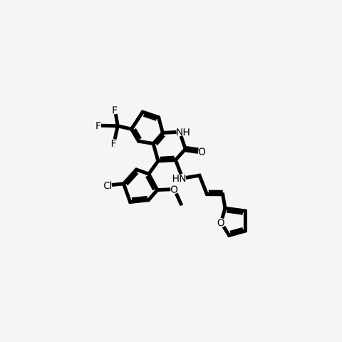 COc1ccc(Cl)cc1-c1c(NCC=Cc2ccco2)c(=O)[nH]c2ccc(C(F)(F)F)cc12